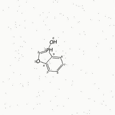 O[PH]1=COc2ccccc21